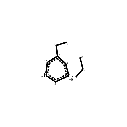 CCO.CCc1cccnc1